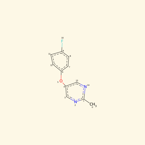 Cc1ncc(Oc2ccc(F)cc2)cn1